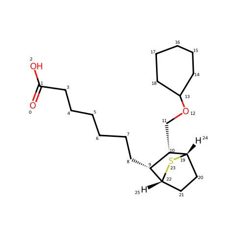 O=C(O)CCCCCC[C@@H]1[C@H](COC2CCCCC2)[C@@H]2CC[C@H]1S2